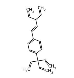 C=C[C](C=C)C=Cc1ccc(C(C=C)(C=C)C=C)cc1